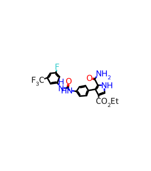 CCOC(=O)c1c[nH]c(C(N)=O)c1-c1ccc(NC(=O)Nc2cc(F)cc(C(F)(F)F)c2)cc1